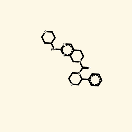 O=C(N1CCc2cnc(NC3CCOCC3)nc2C1)N1CCOCC1c1ccccc1